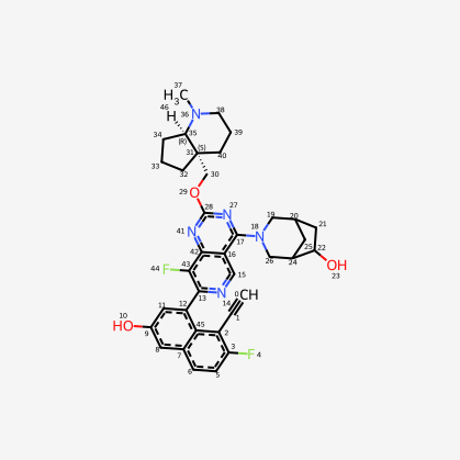 C#Cc1c(F)ccc2cc(O)cc(-c3ncc4c(N5CC6CC(O)C(C6)C5)nc(OC[C@]56CCC[C@H]5N(C)CCC6)nc4c3F)c12